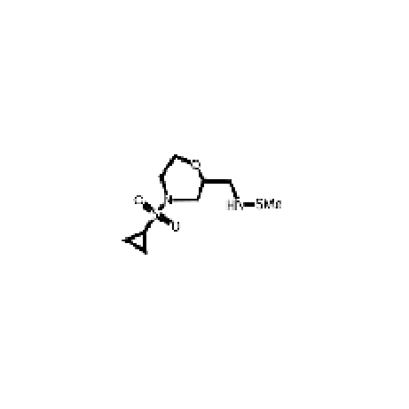 CSNCC1CN(S(=O)(=O)C2CC2)CCO1